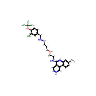 Cc1ccc2c(c1)nc(NCCOCCCCNCc1ccc(OC(F)(F)F)c(Cl)c1)c1ccncc12